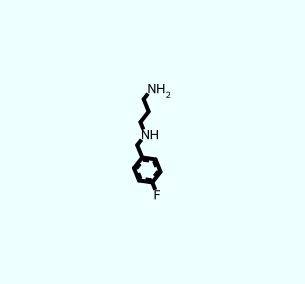 NCCCNCc1ccc(F)cc1